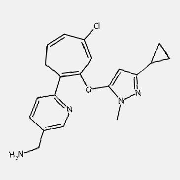 Cn1nc(C2CC2)cc1OC1=C(c2ccc(CN)cn2)CC=CC(Cl)=C1